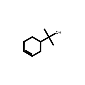 CC(C)(O)C1CC=CCC1